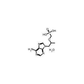 CC(Cn1cnc2c(N)ncnc21)OCP(=O)(O)O.O